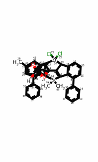 Cc1ccc(C2=C3c4c(-c5ccccc5)cccc4[CH]2[Zr]([Cl])([Cl])[CH]2C(c4ccc(C)o4)=C(c4c(-c5ccccc5)cccc42)[Si]3(C)C)o1